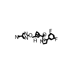 N#Cc1cnc(OC[C@@H]2CC(C(=O)N3N=CCC3c3cc(F)cc(F)c3)C3CC2C3)nc1